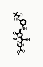 CCn1c(=C(C#N)C2=NC(C(=O)OC)CO2)sc(=CNc2cccc(NC(=O)C(C)(C)C)c2)c1=O